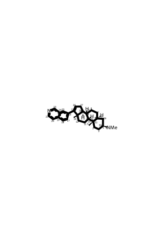 CN[C@H]1CC[C@@]2(C)[C@@H](CC[C@@H]3[C@@H]2CC[C@]2(C)C(c4ccc5ccncc5c4)=CC[C@@H]32)C1